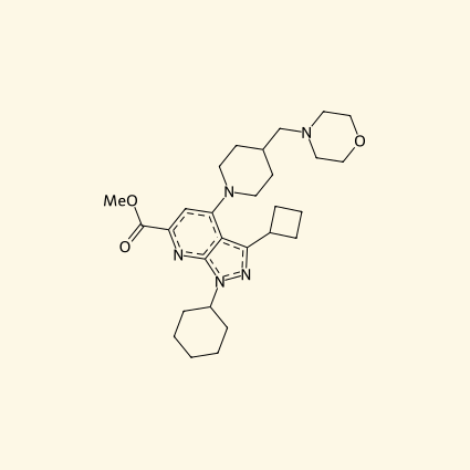 COC(=O)c1cc(N2CCC(CN3CCOCC3)CC2)c2c(C3CCC3)nn(C3CCCCC3)c2n1